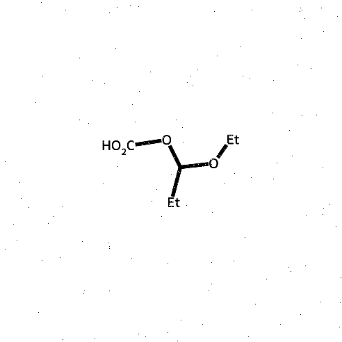 CCOC(CC)OC(=O)O